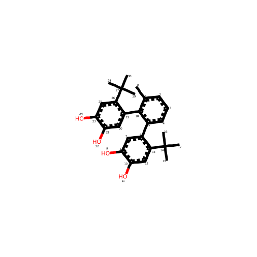 Cc1cccc(-c2cc(O)c(O)cc2C(C)(C)C)c1-c1cc(O)c(O)cc1C(C)(C)C